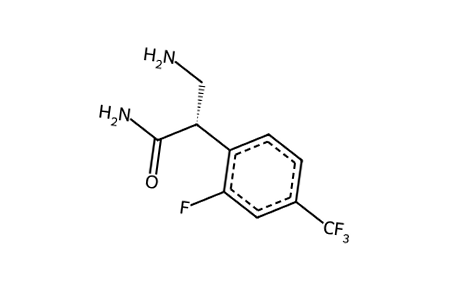 NC[C@@H](C(N)=O)c1ccc(C(F)(F)F)cc1F